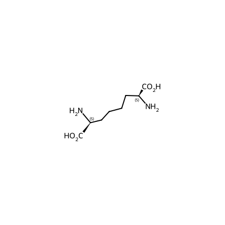 N[C@@H](CCCC[C@H](N)C(=O)O)C(=O)O